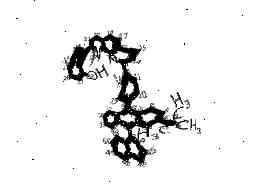 CC(C)(C)c1ccc2c(-c3ccc(-c4ccc5ccc6ccc(-c7ccccc7O)nc6c5n4)cc3)c3ccccc3c(-c3cccc4ccccc34)c2c1